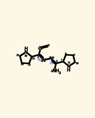 C=N/C(=N\N=C(/N)C1CCCN1)C1CCCN1